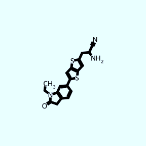 CCN1C(=O)Cc2ccc(-c3cc4sc(CC(N)C#N)cc4s3)cc21